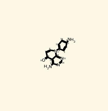 Nc1ccc(-n2ccc(=O)c3c(N)ncnc32)cc1